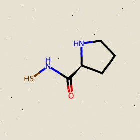 O=C(NS)[C@@H]1CCCN1